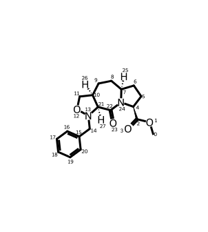 COC(=O)[C@@H]1CC[C@@H]2CC[C@@H]3CON(Cc4ccccc4)[C@@H]3C(=O)N21